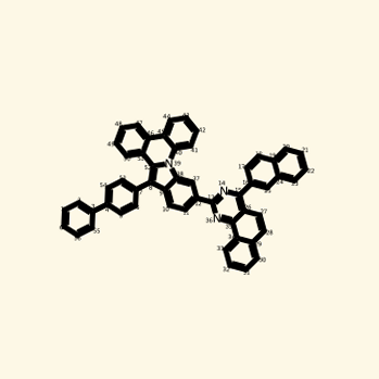 c1ccc(-c2ccc(-c3c4ccc(-c5nc(-c6ccc7ccccc7c6)c6ccc7ccccc7c6n5)cc4n4c5ccccc5c5ccccc5c34)cc2)cc1